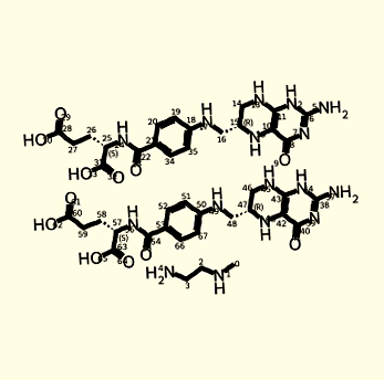 CNCCN.Nc1nc(=O)c2c([nH]1)NC[C@@H](CNc1ccc(C(=O)N[C@@H](CCC(=O)O)C(=O)O)cc1)N2.Nc1nc(=O)c2c([nH]1)NC[C@@H](CNc1ccc(C(=O)N[C@@H](CCC(=O)O)C(=O)O)cc1)N2